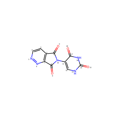 O=C1c2ccnnc2C(=O)N1c1c[nH]c(=O)[nH]c1=O